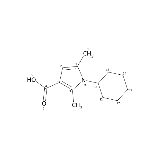 Cc1cc(C(=O)O)c(C)n1C1CCCCC1